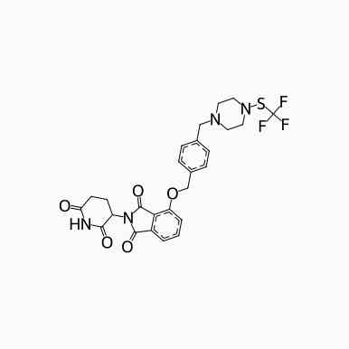 O=C1CCC(N2C(=O)c3cccc(OCc4ccc(CN5CCN(SC(F)(F)F)CC5)cc4)c3C2=O)C(=O)N1